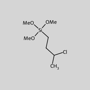 CO[Si](CCC(C)Cl)(OC)OC